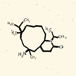 CC(C)N1C(=O)CCC2CC(C)(N)CCC(C)(C(C)C)CCCCC21